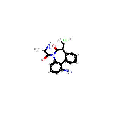 CC(C)CC1C(=O)N(C(=O)[C@H](C)N)c2cccc(N)c2-c2ccccc21.Cl